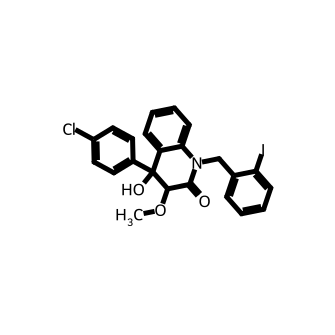 COC1C(=O)N(Cc2ccccc2I)c2ccccc2C1(O)c1ccc(Cl)cc1